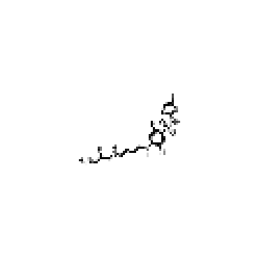 NCC(F)CNCCCCNc1cc(F)c(S(=O)(=O)Nc2ncc(F)s2)cc1Cl